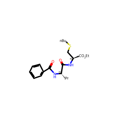 CCCCSC[C@H](NC(=O)[C@@H](NC(=O)c1ccccc1)C(C)C)C(=O)OCC